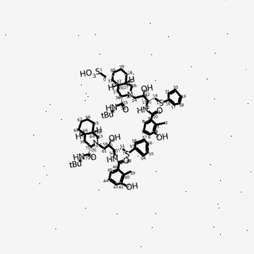 CS(=O)(=O)O.Cc1c(O)cccc1C(=O)N[C@@H](CSc1ccccc1)[C@H](O)CN1C[C@H]2CCCC[C@H]2C[C@H]1C(=O)NC(C)(C)C.Cc1c(O)cccc1C(=O)N[C@@H](CSc1ccccc1)[C@H](O)CN1C[C@H]2CCCC[C@H]2C[C@H]1C(=O)NC(C)(C)C